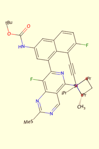 CSc1ncc2c(N3CC[C@@H]3C)nc(-c3cc(NC(=O)OC(C)(C)C)cc4ccc(F)c(C#C[Si](C(C)C)(C(C)C)C(C)C)c34)c(F)c2n1